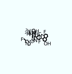 [2H]C([2H])([2H])[C@@]12CC[C@@H](CN(c3nc(OC[C@@]45CCCN4C/C(=C\F)C5)nc4c(F)c(-c5cc(O)cc6ccc(F)c(C#C)c56)ncc34)C1)N2